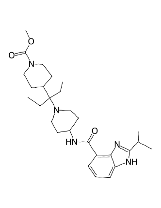 CCC(CC)(C1CCN(C(=O)OC)CC1)N1CCC(NC(=O)c2cccc3[nH]c(C(C)C)nc23)CC1